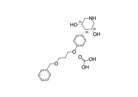 O=C(O)O.O[C@@H]1CNC[C@H](O)[C@@H]1c1ccc(OCCCOCc2ccccc2)cc1